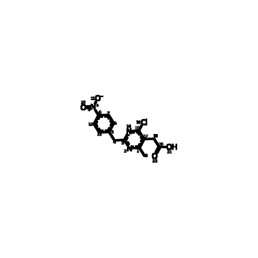 Cc1nc(Cc2ccc([N+](=O)[O-])cc2)nc(Cl)c1CC(=O)O